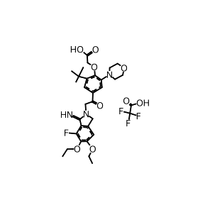 CCOc1cc2c(c(F)c1OCC)C(=N)N(CC(=O)c1cc(N3CCOCC3)c(OCC(=O)O)c(C(C)(C)C)c1)C2.O=C(O)C(F)(F)F